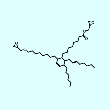 CCCCC/C=C/CC1C(CCCCCC)C=CC(CCCCCCCCOCC2CO2)C1CCCCCCCC(=O)OCC1CO1